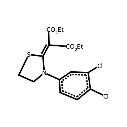 CCOC(=O)C(C(=O)OCC)=C1SCCN1c1ccc(Cl)c(Cl)c1